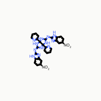 O=[N+]([O-])c1ccc2[nH]c(N=C3NC4(c5ccccn5)NC(=Nc5nc6cc([N+](=O)[O-])ccc6[nH]5)NC4(c4ccccn4)N3)nc2c1